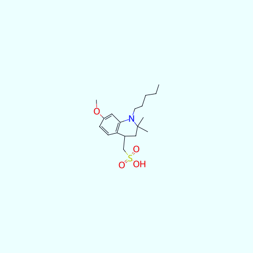 CCCCCN1c2cc(OC)ccc2C(CS(=O)(=O)O)CC1(C)C